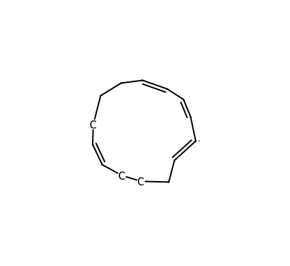 [C]1=C\CCC/C=C\CCC\C=C/C=C\1